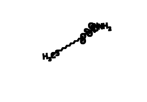 CCSCCCCCCCCCCCC(=O)OC[C@H]1O[C@@H](n2ccc(N)nc2=O)CS1